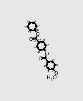 COc1ccc(C(=O)Oc2ccc(C(=O)Oc3ccccc3)cc2)cc1